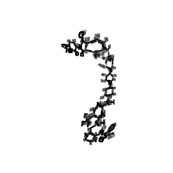 CN(c1nccnc1CNc1nc(Nc2ccc(N3CCC(N4CCN(Cc5ccc6c(c5F)C(=O)N(C5CCC(=O)NC5=O)C6=O)CC4)CC3)cc2)ncc1C(F)(F)F)S(C)(=O)=O